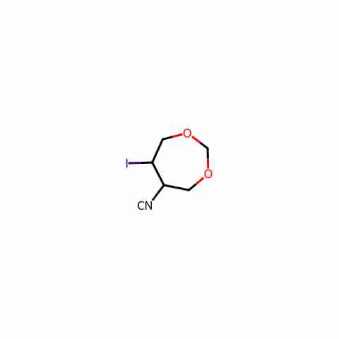 [C-]#[N+]C1COCOCC1I